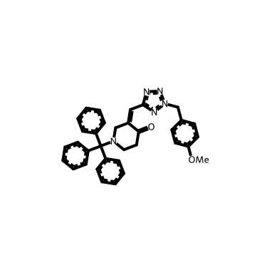 COc1ccc(Cn2nnc(C=C3CN(C(c4ccccc4)(c4ccccc4)c4ccccc4)CCC3=O)n2)cc1